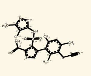 Cc1cc(C)c(-c2csc(C(N)=O)c2S(=O)(=O)Nc2onc(C)c2Cl)c(C)c1CC#N